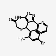 Cc1cc(Br)ccc1C1SCC(=O)Nc2onc(-c3ccccn3)c21